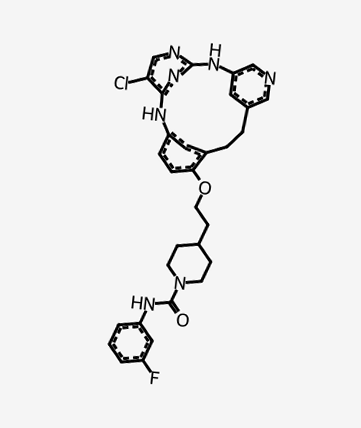 O=C(Nc1cccc(F)c1)N1CCC(CCOc2ccc3cc2CCc2cncc(c2)Nc2ncc(Cl)c(n2)N3)CC1